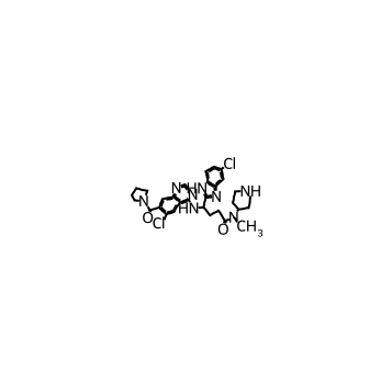 CN(C(=O)CCC(Nc1ncnc2cc(C(=O)N3CCCC3)c(Cl)cc12)c1nc2cc(Cl)ccc2[nH]1)C1CCNCC1